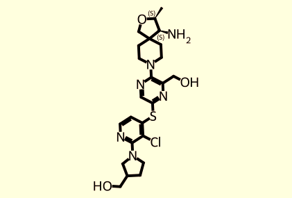 C[C@@H]1OCC2(CCN(c3ncc(Sc4ccnc(N5CCC(CO)C5)c4Cl)nc3CO)CC2)[C@@H]1N